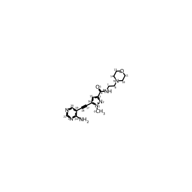 Cn1nc(C(=O)NCCN2CCOCC2)cc1C#Cc1cncnc1N